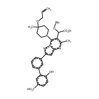 C=CCOC1(C)CCN(c2c(C(OC(C)(C)C)C(=O)OCC)c(C)nc3cc(-c4cccc(-c5cc(C(=O)O)ccc5O)c4)nn23)CC1